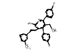 CC(C)c1nc(-c2ccc(F)cc2)c(CO)c(-c2ccc(F)cc2)c1/C=C/c1cccc(C(F)(F)F)c1